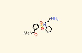 CNC(=O)c1cccc(S(=O)(=O)N(CCCN)C2CCCCC2)c1